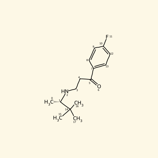 C[C@H](NCCC(=O)c1ccc(F)cc1)C(C)(C)C